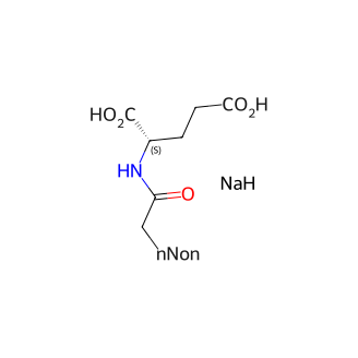 CCCCCCCCCCC(=O)N[C@@H](CCC(=O)O)C(=O)O.[NaH]